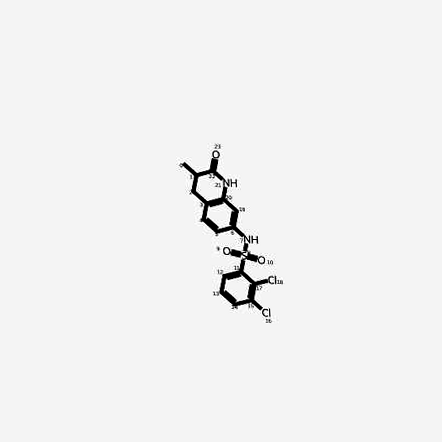 CC1Cc2ccc(NS(=O)(=O)c3cccc(Cl)c3Cl)cc2NC1=O